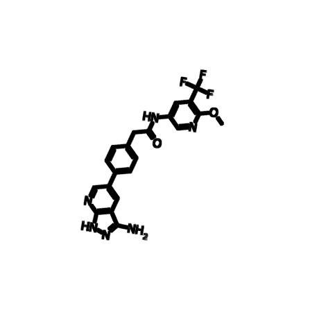 COc1ncc(NC(=O)Cc2ccc(-c3cnc4[nH]nc(N)c4c3)cc2)cc1C(F)(F)F